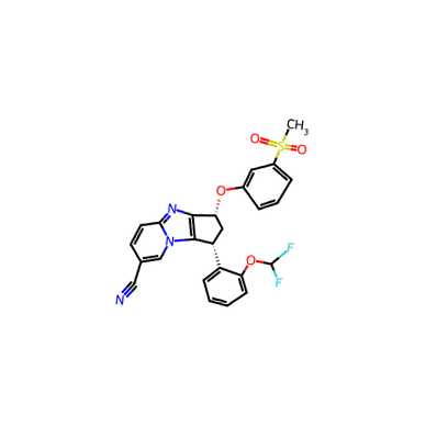 CS(=O)(=O)c1cccc(O[C@@H]2C[C@H](c3ccccc3OC(F)F)c3c2nc2ccc(C#N)cn32)c1